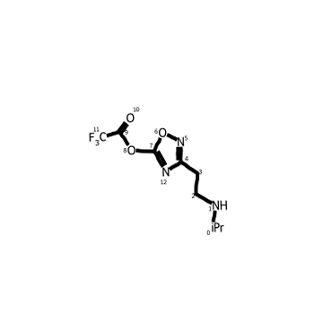 CC(C)NCCc1noc(OC(=O)C(F)(F)F)n1